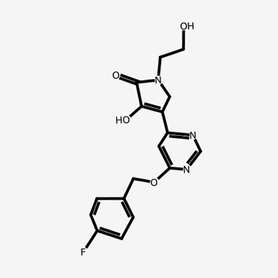 O=C1C(O)=C(c2cc(OCc3ccc(F)cc3)ncn2)CN1CCO